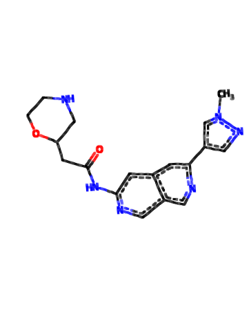 Cn1cc(-c2cc3cc(NC(=O)CC4CNCCO4)ncc3cn2)cn1